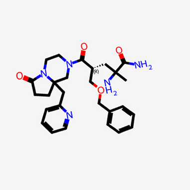 CC(N)(C[C@H](COCc1ccccc1)C(=O)N1CCN2C(=O)CCC2(Cc2ccccn2)C1)C(N)=O